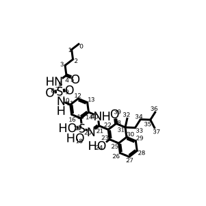 CCCCC(=O)NS(=O)(=O)Nc1ccc2c(c1)S(O)(O)N=C(C1=C(O)c3ccccc3C(C)(CCC(C)C)C1=O)N2